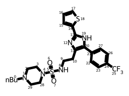 CCCCN1CCN(S(=O)(=O)NCCc2nc(-c3cccs3)[nH]c2-c2ccc(C(F)(F)F)cc2)CC1